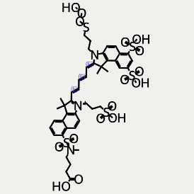 CN(CCCC(=O)O)S(=O)(=O)c1cccc2c3c(ccc12)[N+](CCCS(=O)(=O)O)=C(/C=C/C=C/C=C1/N(CCCSOOO)c2ccc4c(S(=O)(=O)O)cc(S(=O)(=O)O)cc4c2C1(C)C)C3(C)C